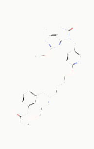 CCCCOc1nc(N)c2[nH]c(=O)n(Cc3ccc(OCCCCN(CCCO)Cc4cccc(CC(=O)OC)c4)nc3)c2n1